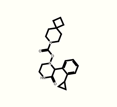 O=C1NCCN(OC(=O)N2CCC3(CCC3)CC2)C1c1ccccc1C1CC1